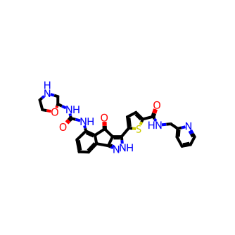 O=C(Nc1cccc2c1C(=O)c1c-2n[nH]c1-c1ccc(C(=O)NCc2ccccn2)s1)NC1CNCCO1